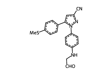 CSc1ccc(-c2cc(C#N)nn2-c2ccc(NCC=O)cc2)cc1